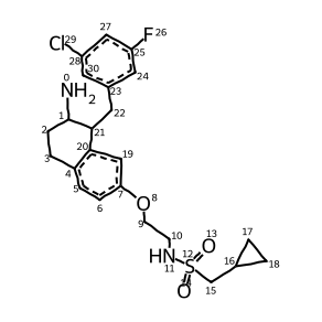 NC1CCc2ccc(OCCNS(=O)(=O)CC3CC3)cc2C1Cc1cc(F)cc(Cl)c1